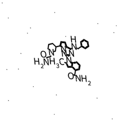 Cc1cc2c(C(N)=O)cccc2n1-c1nc(NCc2ccccc2)c2ccc(C3CCCN(CC(N)=O)C3)n2n1